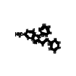 Cc1ccc2c(c1)nc(/C=C/c1ccccc1)n2-c1ccccn1